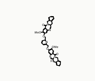 COc1cc2c(cc1OCc1cccc(COc3cc4c(cc3OC)C(=O)N3Cc5ccccc5C[C@H]3C=N4)n1)N=CC1Cc3ccccc3CN1C2=O